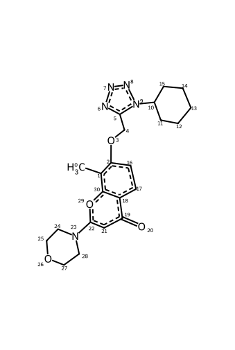 Cc1c(OCc2nnnn2C2CCCCC2)ccc2c(=O)cc(N3CCOCC3)oc12